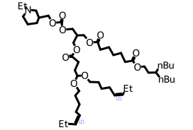 CC/C=C\CCCCOC(CCC(=O)OCC(COC(=O)CCCCCC(=O)OCCC(CCCC)CCCC)COC(=O)OCC1CCCN(CC)C1)OCCCC/C=C\CC